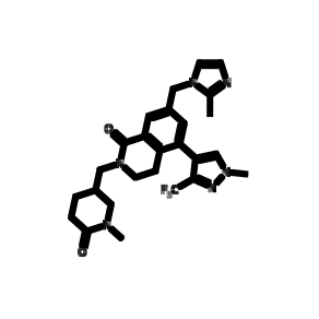 Cc1nccn1Cc1cc2c(c(-c3cn(C)nc3C(F)(F)F)c1)CCN(CC1CCC(=O)N(C)C1)C2=O